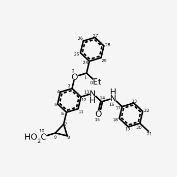 CCC(Oc1ccc(C2CC2C(=O)O)cc1NC(=O)Nc1ccc(C)cc1)c1ccccc1